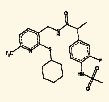 CC(C(=O)NCc1ccc(C(F)(F)F)nc1SC1CCCCC1)c1ccc(NS(C)(=O)=O)c(F)c1